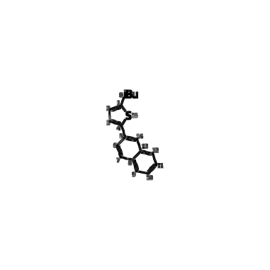 CCC(C)c1ccc(-c2ccc3ccccc3c2)s1